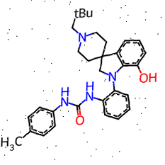 Cc1ccc(NC(=O)Nc2ccccc2N2CC3(CCN(CC(C)(C)C)CC3)c3cccc(O)c32)cc1